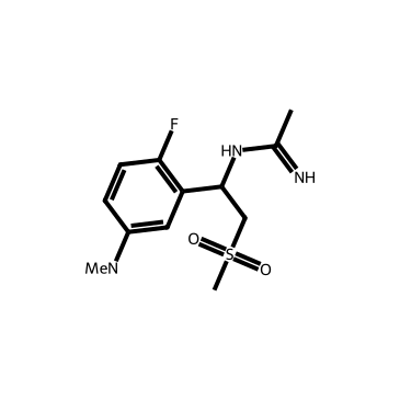 CNc1ccc(F)c(C(CS(C)(=O)=O)NC(C)=N)c1